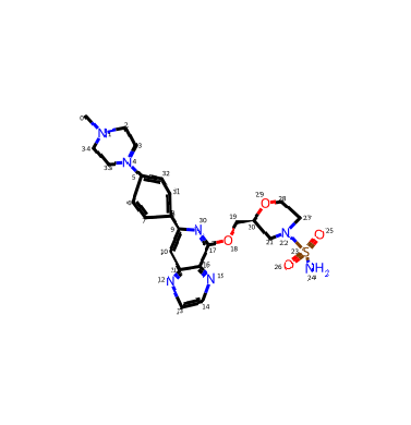 CN1CCN(c2ccc(-c3cc4nccnc4c(OC[C@@H]4CN(S(N)(=O)=O)CCO4)n3)cc2)CC1